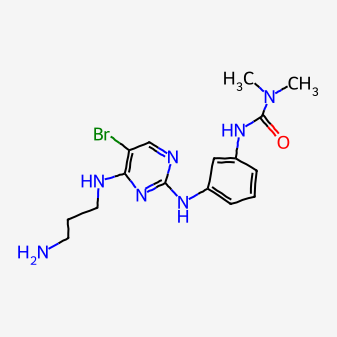 CN(C)C(=O)Nc1cccc(Nc2ncc(Br)c(NCCCN)n2)c1